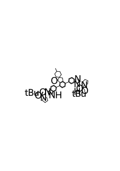 CC1CCC2(CC1)Cc1c(-c3ccc4nc([C@@H]5CCCN5C(=O)OC(C)(C)C)[nH]c4c3)ccc(-c3ccc4nc([C@@H]5CCCN5C(=O)OC(C)(C)C)[nH]c4c3)c1C2=O